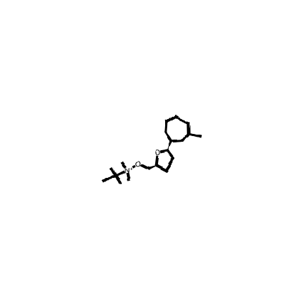 CC1CCCCC([C@H]2CC[C@@H](CO[N+](C)(C)C(C)(C)C)O2)C1